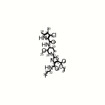 CCOC(=O)c1sc(N2CC[C@@H](NC(=O)c3[nH]c(C)c(I)c3Cl)[C@@H](OC)C2)nc1C(=O)NCCF